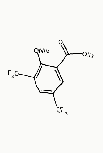 COC(=O)c1cc(C(F)(F)F)cc(C(F)(F)F)c1OC